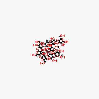 CC(=O)N[C@H]1[C@H](O[C@H]2[C@@H](O)[C@@H](CO)O[C@@H](O[C@H]3[C@H](O)[C@@H](O)[C@H](O)O[C@@H]3CO)[C@@H]2O)O[C@H](CO)[C@@H](O[C@@H]2O[C@H](CO)[C@H](O)[C@H](O[C@@H]3O[C@H](CO)[C@@H](O[C@@H]4O[C@H](CO)[C@H](O)[C@H](O[C@@H]5O[C@H](CO)[C@@H](O[C@@H]6O[C@H](CO)[C@H](O)[C@H](O)[C@H]6O)[C@H](O[C@@H]6O[C@@H](C)[C@@H](O)[C@@H](O)[C@@H]6O)[C@H]5NC(C)=O)[C@H]4O)[C@H](O)[C@H]3NC(C)=O)[C@H]2O)[C@@H]1O